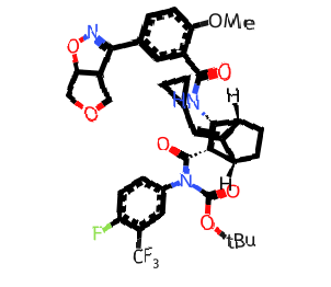 COc1ccc(C2=NOC3COCC23)cc1C(=O)N[C@H]1[C@@H](C(=O)N(C(=O)OC(C)(C)C)c2ccc(F)c(C(F)(F)F)c2)[C@H]2CC[C@@H]1/C2=C\C1CC1